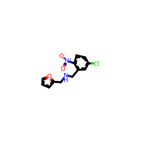 O=[N+]([O-])c1ccc(Cl)cc1CNCc1ccco1